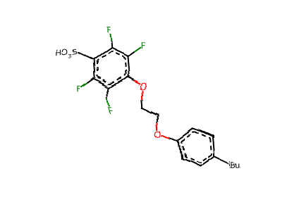 CCC(C)c1ccc(OCCOc2c(F)c(F)c(S(=O)(=O)O)c(F)c2F)cc1